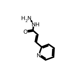 NNC(=O)C=Cc1ccccn1